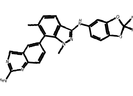 CNc1ncc2cc(-c3c(C)ccc4c(Nc5ccc6c(c5)OC(F)(F)O6)nn(C)c34)ccc2n1